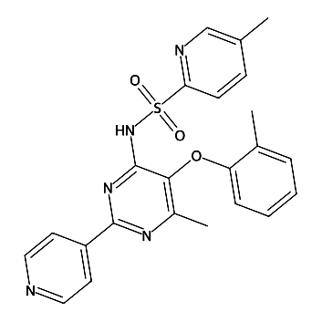 Cc1ccc(S(=O)(=O)Nc2nc(-c3ccncc3)nc(C)c2Oc2ccccc2C)nc1